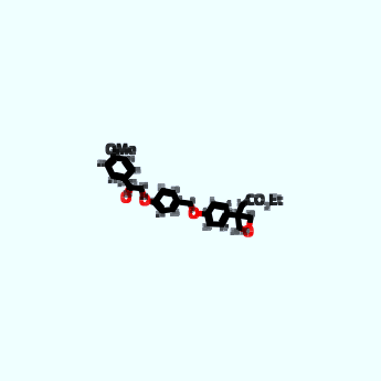 CCOC(=O)CC1(c2ccc(OCc3ccc(OCC(=O)c4ccc(OC)cc4)cc3)cc2)COC1